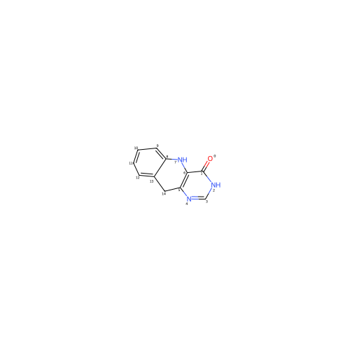 O=c1[nH]cnc2c1Nc1ccccc1C2